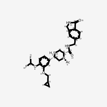 CC(=O)N1C[C@H](c2ccc(OC(F)F)c(OCC3CC3)c2)[SiH2]C[C@@H]1C(=O)NCc1ccc2c(c1)CNC2=O